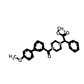 COC(=O)C(c1ccccc1)N1CCN(C(=O)c2cccc(-c3ccc(OC)cc3)c2)CC1